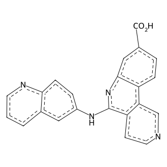 O=C(O)c1ccc2c(c1)nc(Nc1ccc3ncccc3c1)c1ccncc12